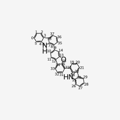 c1ccc2c(c1)[nH]c1c(-c3ccc4c(c3)oc3c(-c5cccc6c5[nH]c5ccccc56)cccc34)cccc12